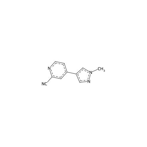 Cn1cc(-c2ccnc(C#N)c2)cn1